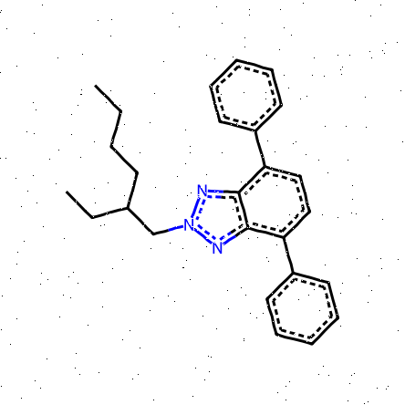 CCCCC(CC)Cn1nc2c(-c3ccccc3)ccc(-c3ccccc3)c2n1